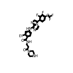 CCc1cc(Nc2nccn3c(-c4ccc(OC(F)F)c(F)c4F)cnc23)ccc1C(=O)NCCC(=O)N1CCNCC1